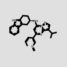 C=N/C=C(\C=C/C)c1cc(N[C@@H]2CCc3[nH]c4ccccc4c3C2)n2ncc(C(C)C)c2n1